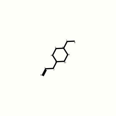 C=CCC1CCC(CC)CC1